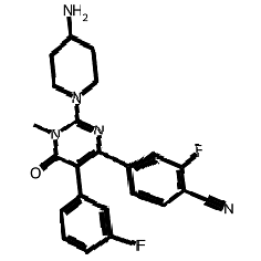 Cn1c(N2CCC(N)CC2)nc(-c2ccc(C#N)c(F)c2)c(-c2cccc(F)c2)c1=O